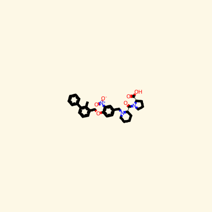 Cc1c(COc2ccc(CN3CCCC[C@H]3C(=O)N3CCC[C@H]3C(=O)O)cc2[N+](=O)[O-])cccc1-c1ccccc1